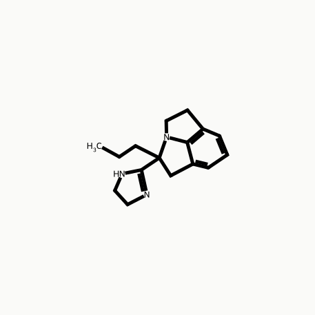 CCCC1(C2=NCCN2)Cc2cccc3c2N1CC3